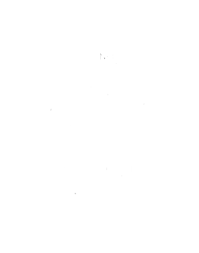 CCOC(=O)/C(=C\c1ccc([N+](=O)[O-])c(O)c1)C(C)=O